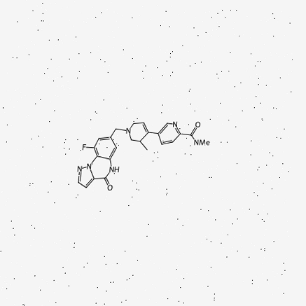 CNC(=O)c1ccc(C2=CCN(Cc3cc(F)c4c(c3)[nH]c(=O)c3ccnn34)CC2C)cn1